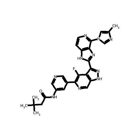 Cc1cn(-c2nccc3[nH]c(-c4n[nH]c5cnc(-c6cncc(NC(=O)CC(C)(C)C)c6)c(F)c45)nc23)cn1